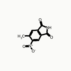 Cc1cc2c(cc1[N+](=O)[O-])C(=O)NC2=O